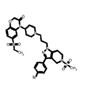 CCS(=O)(=O)c1ccc2c(c1)N(C1CCN(CCCn3nc(-c4ccc(Br)cc4)c4c3CCN(S(C)(=O)=O)C4)CC1)C(=O)CO2